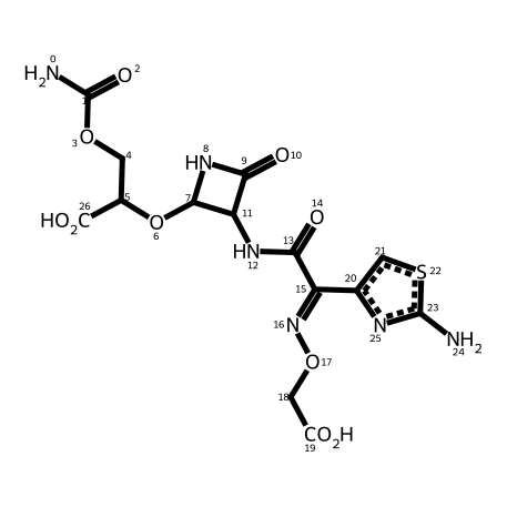 NC(=O)OCC(OC1NC(=O)C1NC(=O)/C(=N/OCC(=O)O)c1csc(N)n1)C(=O)O